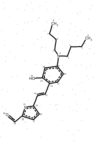 CCCCN(CCCC)c1ccc(/C=C/c2ccc(C=O)s2)c(O)c1